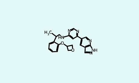 CC(CNc1cc(-c2cnc3[nH]ncc3c2)ncn1)c1ccccc1OC1COC1